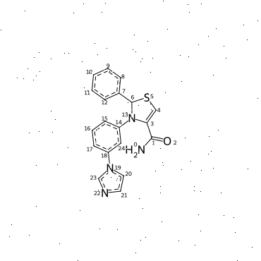 NC(=O)C1=CSC(c2ccccc2)N1c1cccc(-n2ccnc2)c1